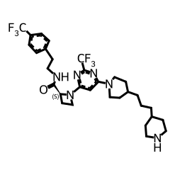 O=C(NCCc1ccc(C(F)(F)F)cc1)[C@@H]1CCN1c1cc(N2CCC(CCCC3CCNCC3)CC2)nc(C(F)(F)F)n1